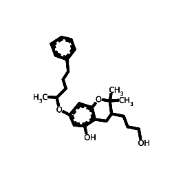 CC(CCCc1ccccc1)Oc1cc(O)c2c(c1)OC(C)(C)C(CCCO)C2